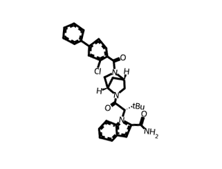 CC(C)(C)[C@@H](C(=O)N1C[C@@H]2C[C@H]1CN2C(=O)c1ccc(-c2ccccc2)cc1Cl)n1c(C(N)=O)cc2ccccc21